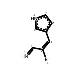 N=C/C(Br)=C\c1cc[nH]c1